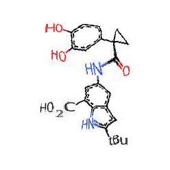 CC(C)(C)c1cc2cc(NC(=O)C3(c4ccc(O)c(O)c4)CC3)cc(C(=O)O)c2[nH]1